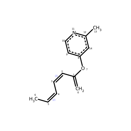 C=C(/C=C\C=C/C)Oc1ccnc(C)c1